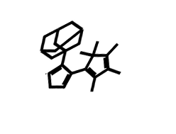 CC1=C(C)C(C)(C)C(C2=CC[C]=C2C23CC4CC(CC(C4)C2)C3)=C1C